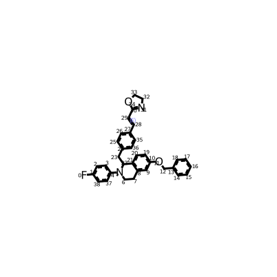 Fc1ccc(N2CCc3cc(OCc4ccccc4)ccc3C2Cc2ccc(/C=C/C3=NCCO3)cc2)cc1